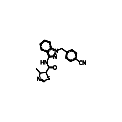 CC1N=CSC1C(=O)Nc1nn(Cc2ccc(C#N)cc2)c2ccccc12